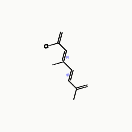 C=C(C)/C=C/C(C)=C/C(=C)Cl